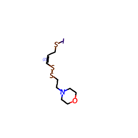 ISC/C=C\SSCCN1CCOCC1